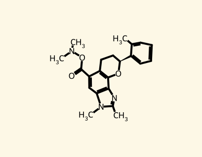 Cc1ccccc1[C@@H]1CCc2c(C(=O)ON(C)C)cc3c(nc(C)n3C)c2O1